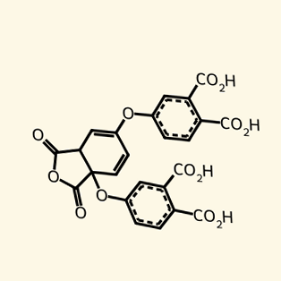 O=C(O)c1ccc(OC2=CC3C(=O)OC(=O)C3(Oc3ccc(C(=O)O)c(C(=O)O)c3)C=C2)cc1C(=O)O